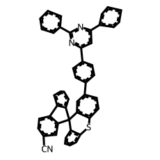 N#Cc1ccc2c(c1)C1(c3ccccc3Sc3ccc(-c4ccc(-c5cc(-c6ccccc6)nc(-c6ccccc6)n5)cc4)cc31)c1ccccc1-2